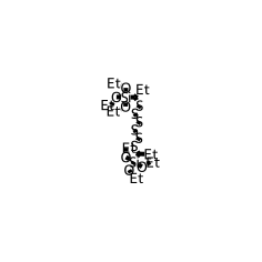 CCO[Si](OCC)(OCC)C(CC)SSSSSSC(CC)[Si](OCC)(OCC)OCC